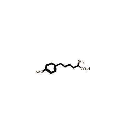 COc1ccc(CCCC[C@@H](N)C(=O)O)cc1